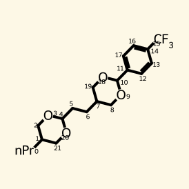 CCCC1COC(CCC2COC(c3ccc(C(F)(F)F)cc3)OC2)OC1